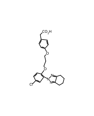 O=C(O)Cc1ccc(OCCCOc2ccc(Cl)cc2-n2nc3c(n2)CCCC3)cc1